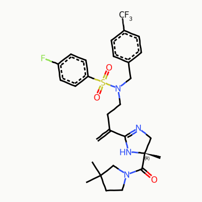 C=C(CCN(Cc1ccc(C(F)(F)F)cc1)S(=O)(=O)c1ccc(F)cc1)C1=NC[C@](C)(C(=O)N2CCC(C)(C)C2)N1